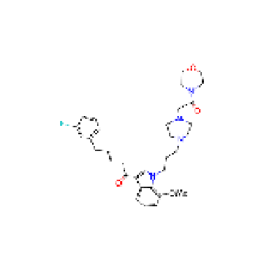 COc1cccc2c(C(=O)C/C=C/Cc3cccc(F)c3)cn(CCCN3CCN(CC(=O)N4CCOCC4)CC3)c12